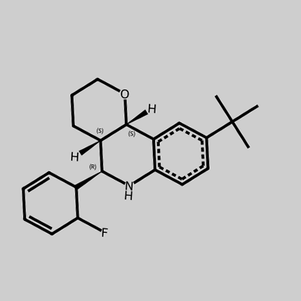 CC(C)(C)c1ccc2c(c1)[C@H]1OCCC[C@H]1[C@H](C1C=CC=CC1F)N2